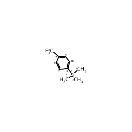 C[Si](C)(C)c1ccc(C(F)(F)F)cc1